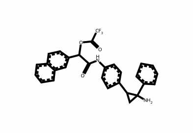 NC1(c2ccccc2)CC1c1ccc(NC(=O)C(OC(=O)C(F)(F)F)c2ccc3ccccc3c2)cc1